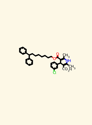 CC1=C(C(=O)O)C(c2cccc(Cl)c2)C(C(=O)OCCCCCCCC(c2ccccc2)c2ccccc2)=C(C)N1